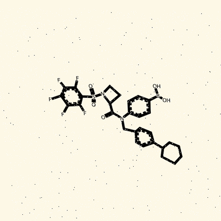 O=C(C1CCN1S(=O)(=O)c1c(F)c(F)c(F)c(F)c1F)N(Cc1ccc(C2CCCCC2)cc1)c1ccc(B(O)O)cc1